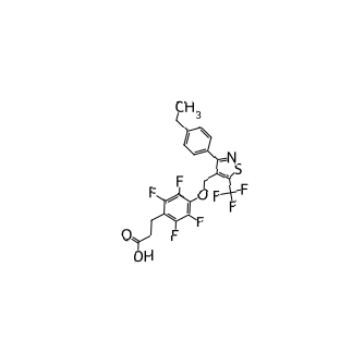 CCc1ccc(-c2nsc(C(F)(F)F)c2COc2c(F)c(F)c(CCC(=O)O)c(F)c2F)cc1